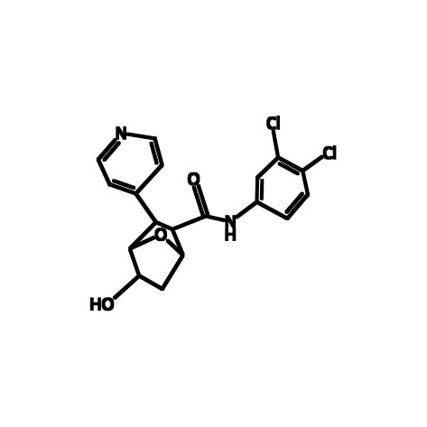 O=C(Nc1ccc(Cl)c(Cl)c1)C1C2CC(O)C(O2)C1c1ccncc1